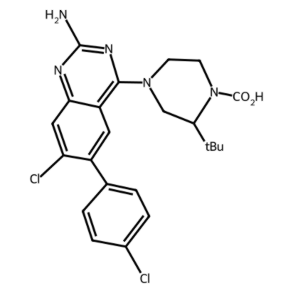 CC(C)(C)C1CN(c2nc(N)nc3cc(Cl)c(-c4ccc(Cl)cc4)cc23)CCN1C(=O)O